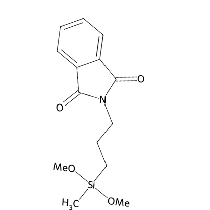 CO[Si](C)(CCCN1C(=O)c2ccccc2C1=O)OC